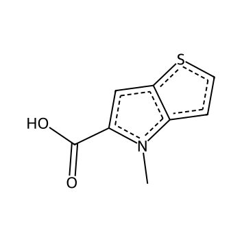 Cn1c(C(=O)O)cc2sccc21